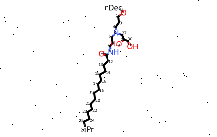 CCCCCCCCCCOCCCN(CCCNC(=O)CCCCCCCCCCCCCCC(C)C)CC(O)CO